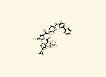 CC(C)(C)[C@@H](C(=O)N1C[C@H](O)C[C@H]1C(=O)NC1CCN(Cc2coc(-c3ccccc3)n2)CC1)n1cc(C2CC2)nn1